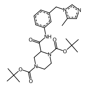 Cc1cncn1Cc1cccc(NC(=O)C2CN(C(=O)OC(C)(C)C)CCN2C(=O)OC(C)(C)C)c1